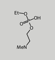 CCOP(=O)(O)OCCNC